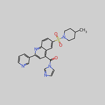 CC1CCN(S(=O)(=O)c2ccc3nc(-c4cccnc4)cc(C(=O)n4ccnc4)c3c2)CC1